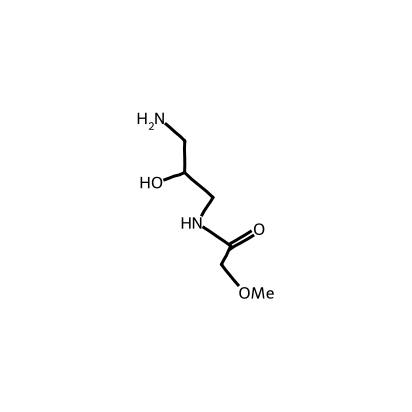 COCC(=O)NCC(O)CN